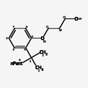 CCCCCC(C)(C)c1ccccc1OCCC[O]